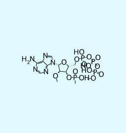 CO[C@@H]1[C@H](OP(C)(=O)O)[C@@H](COP(=O)(O)OP(=O)(O)OP(=O)(O)OC)O[C@H]1n1cnc2c(N)ncnc21